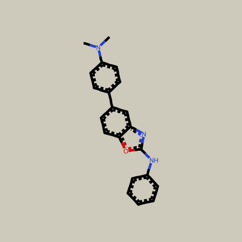 CN(C)c1ccc(-c2ccc3oc(Nc4ccccc4)nc3c2)cc1